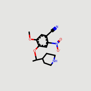 COc1cc(C#N)c([N+](=O)[O-])cc1OC(C)C1CCNCC1